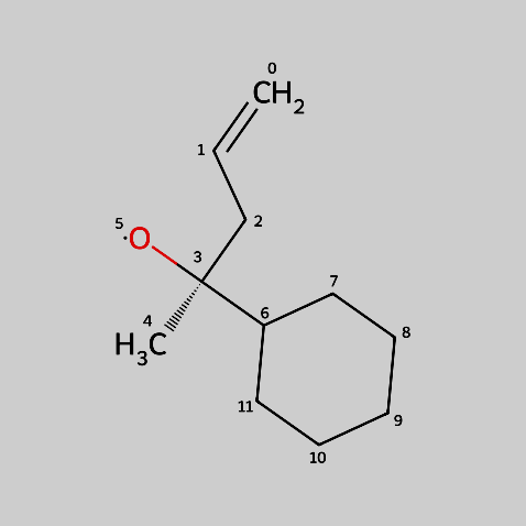 C=CC[C@](C)([O])C1CCCCC1